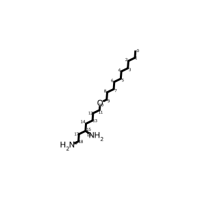 CCCCCCCCCCOCCCCC(N)CCN